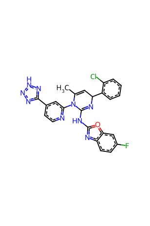 CC1=CC(c2ccccc2Cl)N=C(Nc2nc3ccc(F)cc3o2)N1c1cc(-c2nn[nH]n2)ccn1